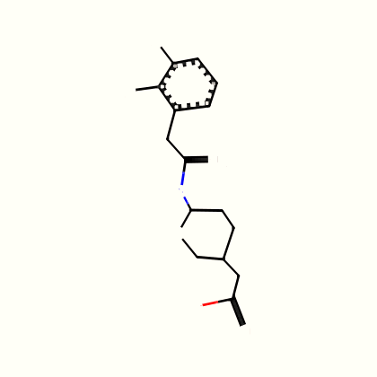 C=C(O)CC1CBC(NC(=C)Cc2cccc(C)c2C)CC1